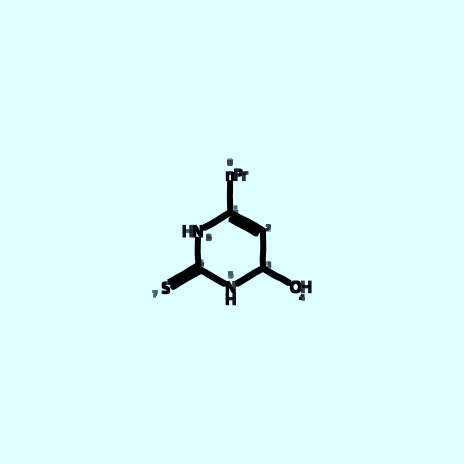 CCCC1=CC(O)NC(=S)N1